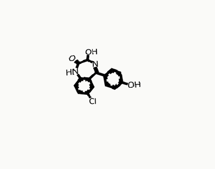 O=C1Nc2ccc(Cl)cc2C(c2ccc(O)cc2)=NC1O